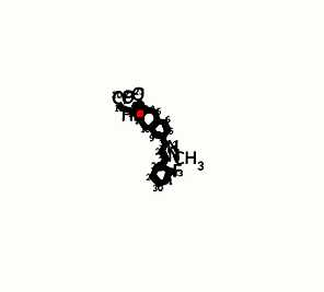 Cn1nc(-c2ccc3c(c2)CC2CCC(C3)C23CN(CC(F)(F)F)S(=O)(=O)N3)cc1-c1ccccc1F